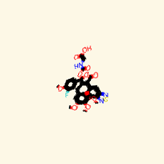 COc1ccc(C2(OC(=O)NCC(=O)O)OC(=O)C(c3ccc4nsnc4c3)=C2Cc2cc(OC)c(OC)c(OC)c2)cc1F